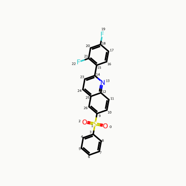 O=S(=O)(c1ccccc1)c1ccc2nc(-c3ccc(F)cc3F)ccc2c1